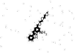 COCCOCCOCc1cc(N)c2[nH]c(-c3ccccc3)cc2c1